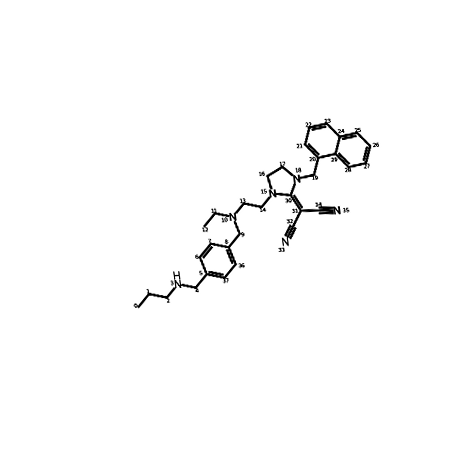 CCCNCc1ccc(CN(CC)CCN2CCN(Cc3cccc4ccccc34)C2=C(C#N)C#N)cc1